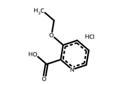 CCOc1cccnc1C(=O)O.Cl